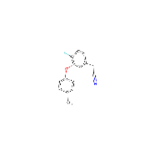 Cc1ccc(Oc2cc([CH]C#N)ccc2F)cc1